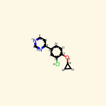 Clc1cc(-c2ccncn2)ccc1OC1CC1